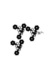 O=C(OC(OC(=O)c1ccccc1)(OC(=O)c1ccccc1)C(=O)[O-])c1ccccc1.O=C(OC(OC(=O)c1ccccc1)(OC(=O)c1ccccc1)C(=O)[O-])c1ccccc1.O=C(OC(OC(=O)c1ccccc1)(OC(=O)c1ccccc1)C(=O)[O-])c1ccccc1.[Bi+3]